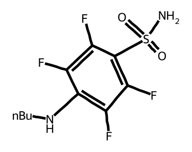 CCCCNc1c(F)c(F)c(S(N)(=O)=O)c(F)c1F